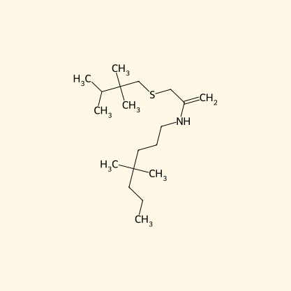 C=C(CSCC(C)(C)C(C)C)NCCCC(C)(C)CCC